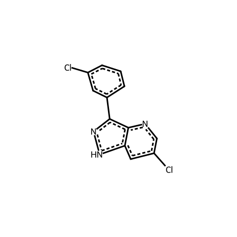 Clc1cccc(-c2n[nH]c3cc(Cl)cnc23)c1